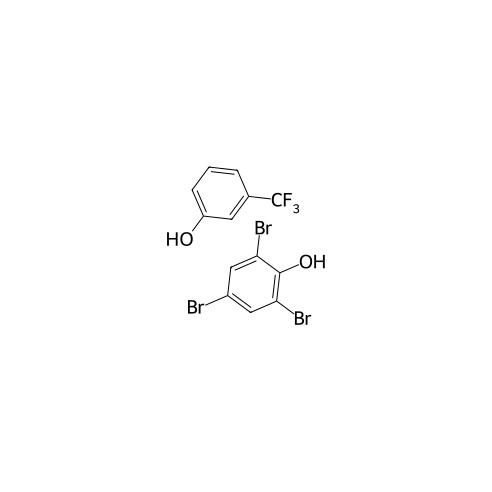 Oc1c(Br)cc(Br)cc1Br.Oc1cccc(C(F)(F)F)c1